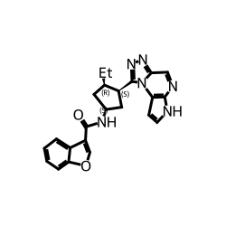 CC[C@@H]1C[C@H](NC(=O)c2coc3ccccc23)C[C@@H]1c1nnc2cnc3[nH]ccc3n12